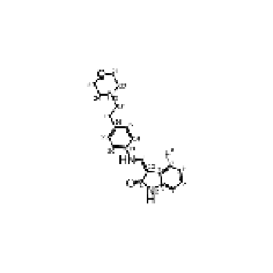 O=C1Nc2cccc(F)c2C1=CNc1ccc(CCN2CCOCC2)cc1